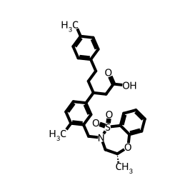 Cc1ccc(CCC(CC(=O)O)c2ccc(C)c(CN3C[C@@H](C)Oc4ccccc4S3(=O)=O)c2)cc1